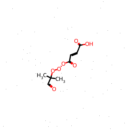 CC(C)(C=O)OOOC(=O)C=CC(=O)O